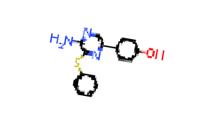 Nc1ncc(-c2ccc(O)cc2)nc1Sc1ccccc1